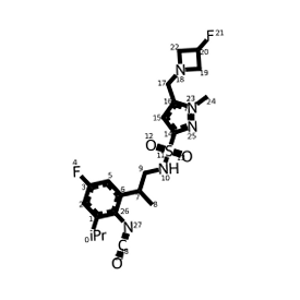 CC(C)c1cc(F)cc(C(C)CNS(=O)(=O)c2cc(CN3CC(F)C3)n(C)n2)c1N=C=O